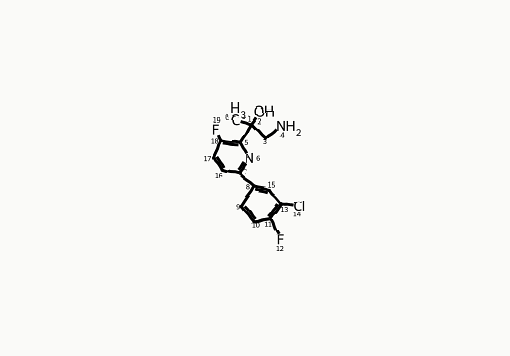 CC(O)(CN)c1nc(-c2ccc(F)c(Cl)c2)ccc1F